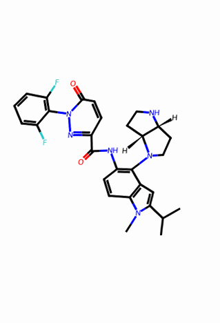 CC(C)c1cc2c(N3CC[C@H]4NCC[C@H]43)c(NC(=O)c3ccc(=O)n(-c4c(F)cccc4F)n3)ccc2n1C